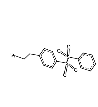 CC(C)CCc1ccc(S(=O)(=O)S(=O)(=O)c2ccccc2)cc1